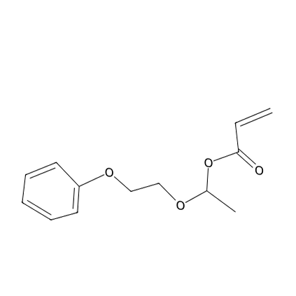 C=CC(=O)OC(C)OCCOc1ccccc1